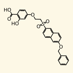 O=C(O)c1ccc(OCCS(=O)(=O)c2ccc3cc(OCc4ccccc4)ccc3c2)cc1O